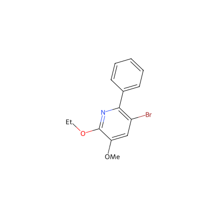 CCOc1nc(-c2ccccc2)c(Br)cc1OC